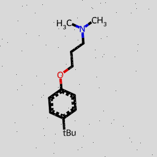 CN(C)CCCOc1ccc(C(C)(C)C)cc1